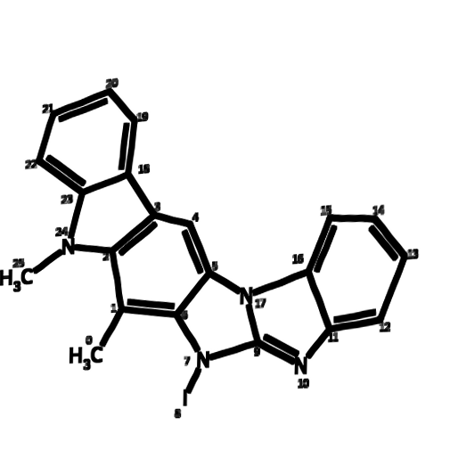 Cc1c2c(cc3c1n(I)c1nc4ccccc4n31)c1ccccc1n2C